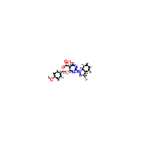 COc1ccc(COc2nc(N3CC(C)c4ccccc43)ncc2C(=O)O)cc1